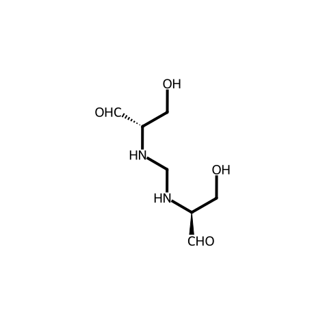 O=C[C@H](CO)NCN[C@H](C=O)CO